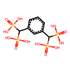 O=P(O)(O)C(c1cccc(C(P(=O)(O)O)P(=O)(O)O)c1)P(=O)(O)O